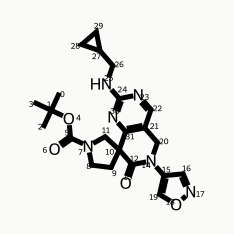 CC(C)(C)OC(=O)N1CCC2(C1)C(=O)N(c1cnoc1)Cc1cnc(NCC3CC3)nc12